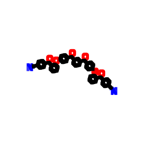 N#Cc1ccc(C(=O)c2ccccc2Oc2ccc(C(=O)c3cccc(C(=O)c4ccc(Oc5ccccc5C(=O)c5ccc(C#N)cc5)cc4)c3)cc2)cc1